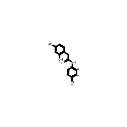 O=C(Cc1ccc(O)cc1O)Nc1ccc(O)cc1